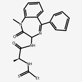 CCC(=S)N[C@@H](C)C(=O)NC1N=C(c2ccccc2)c2ccccc2N(C)C1=O